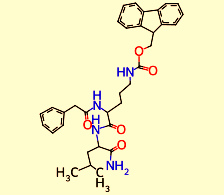 CC(C)CC(NC(=O)C(CCCNC(=O)OCC1c2ccccc2-c2ccccc21)NC(=O)Cc1ccccc1)C(N)=O